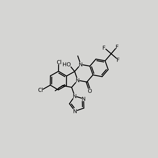 CCC(N1C(=O)c2ccc(C(F)(F)F)cc2N(C)C1(O)c1ccc(Cl)cc1Cl)n1cncn1